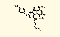 CNc1cc(F)c(C)c2c1[nH]c1nc(Oc3ccc(C)nc3)nc(NCCCN)c12